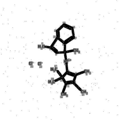 CC1=C[C](C)([Hf+2][C]2=C(C)C(C)=C(C)C2(C)C)c2ccccc21.[Cl-].[Cl-]